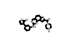 O=C(c1cc2c(ccc3cnc(NC4C=C(c5ccsc5Cl)C=CC4)nc32)s1)N1CCNCC1